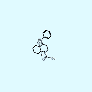 CCCCC(=O)N1CCC(Nc2ccccc2)[C@@]2(O)CCCC[C@H]12